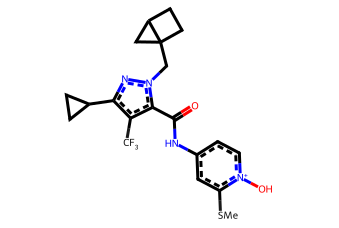 CSc1cc(NC(=O)c2c(C(F)(F)F)c(C3CC3)nn2CC23CCC2C3)cc[n+]1O